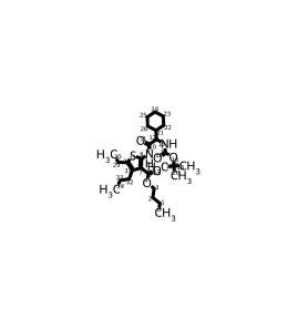 CCCCOC(=O)c1c(NC(=O)C(NC(=O)OC(C)(C)C)C2CCCCC2)sc(CC)c1CCC